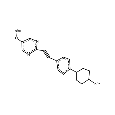 CCCCOc1cnc(C#Cc2ccc(C3CCC(CCC)CC3)cc2)nc1